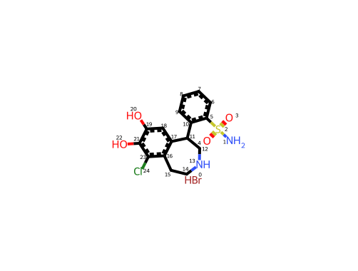 Br.NS(=O)(=O)c1ccccc1C1CNCCc2c1cc(O)c(O)c2Cl